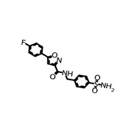 NS(=O)(=O)c1ccc(CNC(=O)c2cc(-c3ccc(F)cc3)on2)cc1